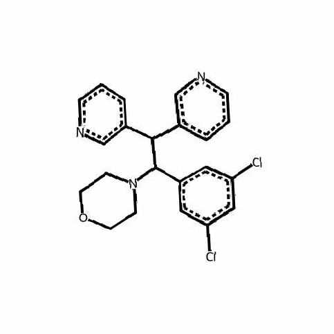 Clc1cc(Cl)cc(C(C(c2cccnc2)c2cccnc2)N2CCOCC2)c1